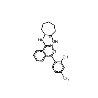 Oc1cc(C(F)(F)F)ccc1-c1nnc(NC2CCCCC[C@H]2O)c2ccccc12